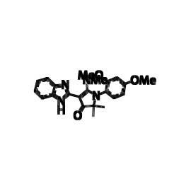 CNC1=C(c2nc3ccccc3[nH]2)C(=O)C(C)(C)N1c1ccc(OC)cc1OC